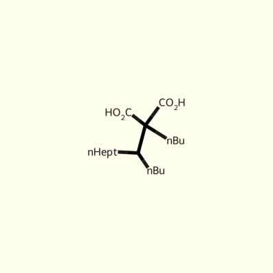 CCCCCCCC(CCCC)C(CCCC)(C(=O)O)C(=O)O